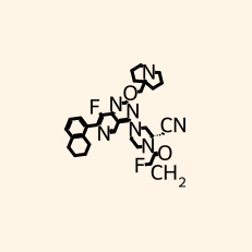 C=C(F)C(=O)N1CCN(c2nc(OCC34CCCN3CCC4)nc3c(F)c(-c4cccc5c4CCCC5)ncc23)C[C@@H]1CC#N